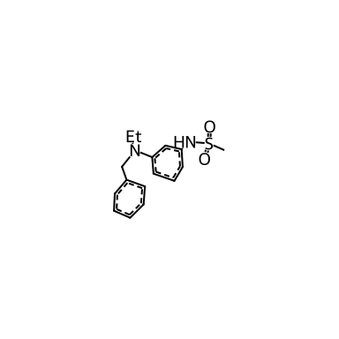 CCN(Cc1ccccc1)c1cccc(NS(C)(=O)=O)c1